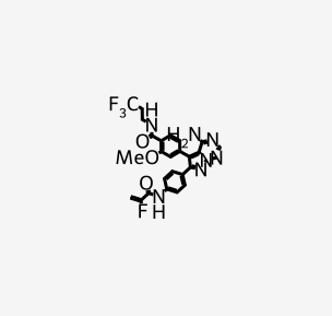 C=C(F)C(=O)Nc1ccc(-c2nn3ncnc(N)c3c2-c2ccc(C(=O)NCCC(F)(F)F)c(OC)c2)cc1